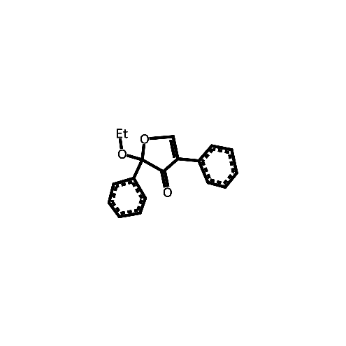 CCOC1(c2ccccc2)OC=C(c2ccccc2)C1=O